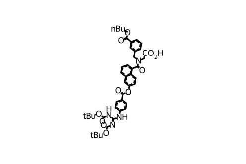 CCCCOC(=O)c1cccc(CN(CC(=O)O)C(=O)c2cccc3cc(OC(=O)c4ccc(N/C(=N/C(=O)OC(C)(C)C)NC(=O)OC(C)(C)C)cc4)ccc23)c1